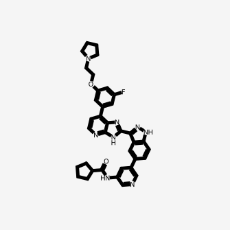 O=C(Nc1cncc(-c2ccc3[nH]nc(-c4nc5c(-c6cc(F)cc(OCCN7CCCC7)c6)ccnc5[nH]4)c3c2)c1)C1CCCC1